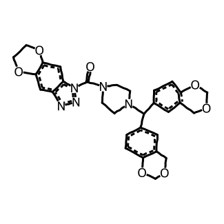 O=C(N1CCN(C(c2ccc3c(c2)COCO3)c2ccc3c(c2)COCO3)CC1)n1nnc2cc3c(cc21)OCCO3